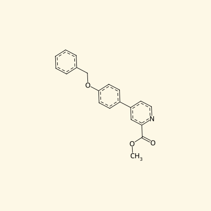 COC(=O)c1cc(-c2ccc(OCc3ccccc3)cc2)ccn1